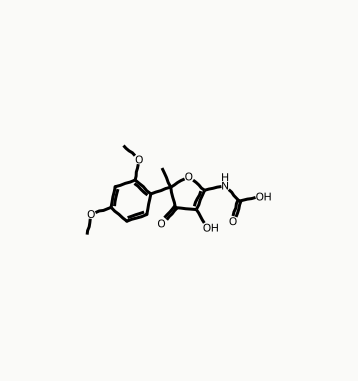 COc1ccc(C2(C)OC(NC(=O)O)=C(O)C2=O)c(OC)c1